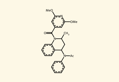 COc1cc(C(=O)N2c3ccccc3C(N(C(C)=O)c3ccccc3)CC2C)cc(OC)n1